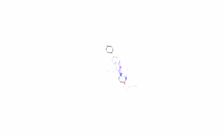 Cc1ccc(C2CCN(C(=O)Nc3ccc(O)cn3)CC2)cc1